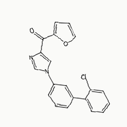 O=C(c1cn(-c2cccc(-c3ccccc3Cl)c2)cn1)c1ccco1